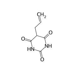 C=CCC1C(=O)NC(=O)NC1=O